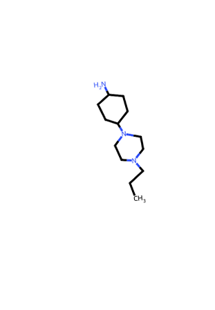 CCCN1CCN(C2CCC(N)CC2)CC1